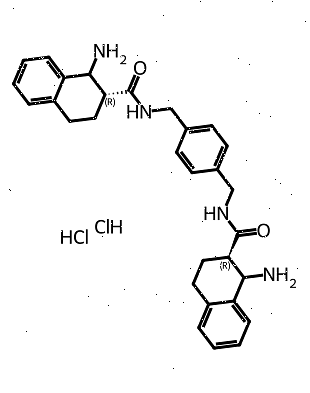 Cl.Cl.NC1c2ccccc2CC[C@H]1C(=O)NCc1ccc(CNC(=O)[C@@H]2CCc3ccccc3C2N)cc1